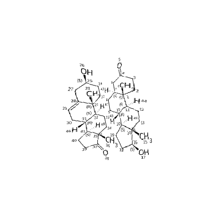 C[C@]12CCC(=O)C[C@@H]1CC[C@@H]1[C@@H]2CC[C@]2(C)[C@@H](O)CC[C@@H]12.C[C@]12CC[C@H](O)CC1=CC[C@@H]1[C@@H]2CC[C@]2(C)C(=O)CC[C@@H]12